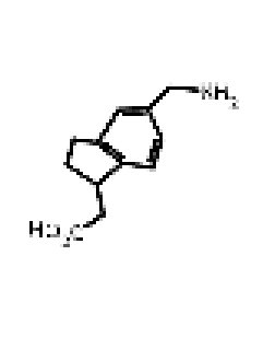 NCc1ccc2c(c1)CCC2CC(=O)O